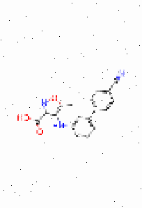 Cc1onc(C(=O)O)c1Nc1cccc(-c2ccc(C#N)cc2)c1